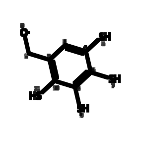 [O]Cc1cc(S)c(S)c(S)c1S